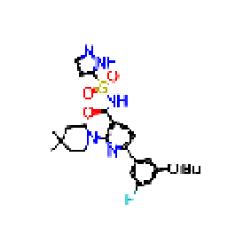 CC(C)COc1cc(F)cc(-c2ccc(C(=O)NS(=O)(=O)c3ccn[nH]3)c(N3CCC(C)(C)CC3)n2)c1